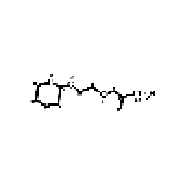 CC(COCCOC1CCCCO1)C(=O)O